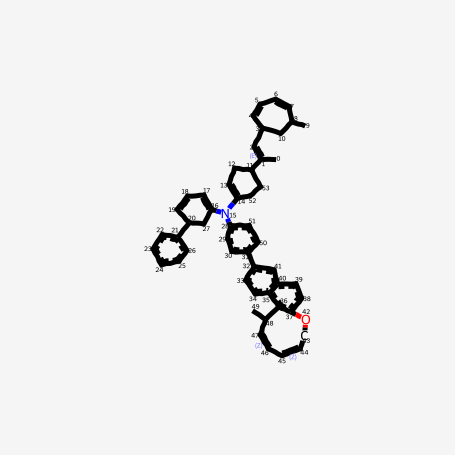 C/C(=C\C1C=CC=CC(C)C1)C1CC=C(N(C2=CC=CC(c3ccccc3)C2)c2ccc(-c3ccc4c5c(ccc4c3)OC/C=C\C=C/C5C)cc2)CC1